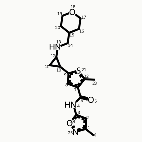 Cc1cc(NC(=O)c2cc(C3CC3NCC3CCOCC3)sc2C)on1